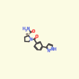 NC(=O)[C@H]1CCCN1C(=O)c1cccc(-c2cc[nH]n2)c1